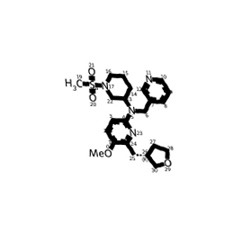 COc1ccc(N(Cc2cccnc2)C2CCCN(S(C)(=O)=O)C2)nc1C[C@@H]1CCOC1